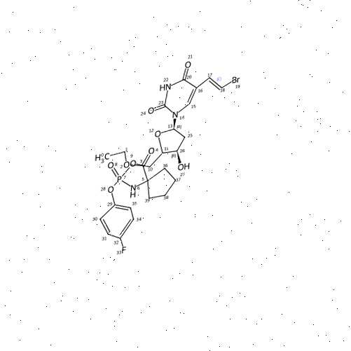 CCOC(=O)C1(NP(=O)(OCC2O[C@@H](n3cc(/C=C/Br)c(=O)[nH]c3=O)C[C@H]2O)Oc2ccc(F)cc2)CCCC1